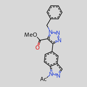 COC(=O)c1c(-c2ccc3c(cnn3C(C)=O)c2)nnn1Cc1ccccc1